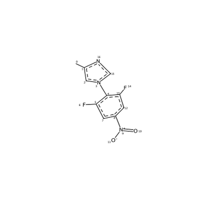 Cc1cn(-c2c(F)cc([N+](=O)[O-])cc2F)cn1